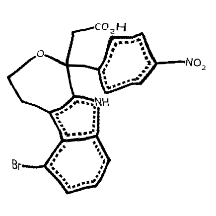 O=C(O)CC1(c2ccc([N+](=O)[O-])cc2)OCCc2c1[nH]c1cccc(Br)c21